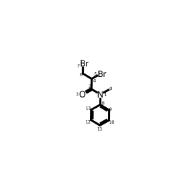 CN(C(=O)C(Br)CBr)c1ccccc1